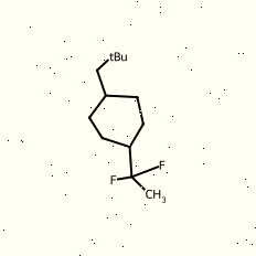 CC(C)(C)CC1CCC(C(C)(F)F)CC1